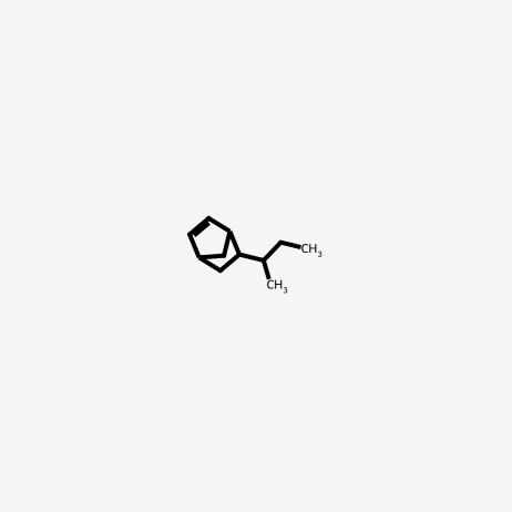 CCC(C)C1CC2C=CC1C2